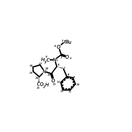 CN(C(=O)OC(C)(C)C)[C@H](Cc1ccccc1)C(=O)N1CCC[C@H]1C(=O)O